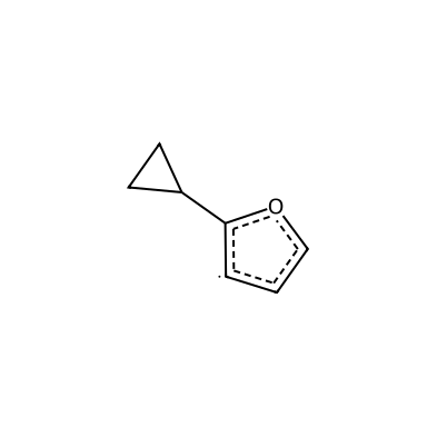 [c]1ccoc1C1CC1